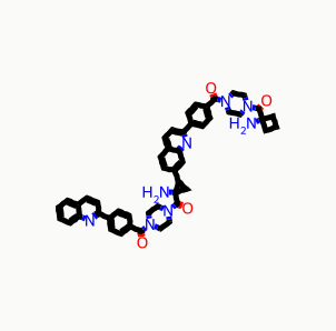 NC1(C(=O)N2CCN(C(=O)c3ccc(-c4ccc5ccc(C6CC6(N)C(=O)N6CCN(C(=O)c7ccc(-c8ccc9ccccc9n8)cc7)CC6)cc5n4)cc3)CC2)CCC1